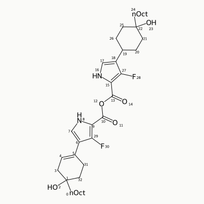 CCCCCCCCC1(O)CC=C(c2c[nH]c(C(=O)OC(=O)c3[nH]cc(C4CCC(O)(CCCCCCCC)CC4)c3F)c2F)CC1